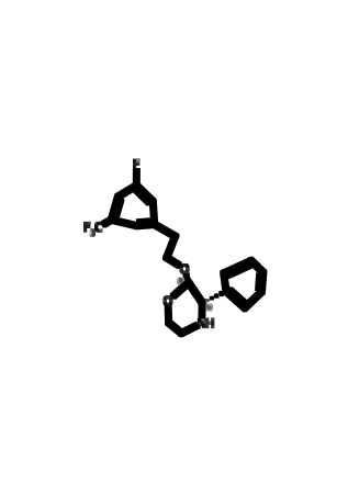 Fc1cc(CCO[C@@H]2OCCN[C@H]2c2ccccc2)cc(C(F)(F)F)c1